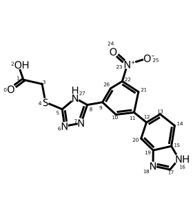 O=C(O)CSc1nnc(-c2cc(-c3ccc4[nH]cnc4c3)cc([N+](=O)[O-])c2)[nH]1